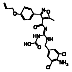 C=CCOc1ccc(-c2noc(C)c2C(=O)/N=C(/NCc2cc(Cl)c(N)c(Cl)c2)NC(=O)O)cc1